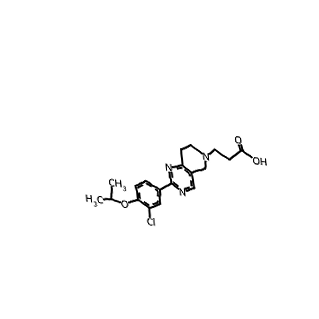 CC(C)Oc1ccc(-c2ncc3c(n2)CCN(CCC(=O)O)C3)cc1Cl